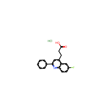 Cl.O=C(O)CCc1cc(-c2ccccc2)nc2ccc(F)cc12